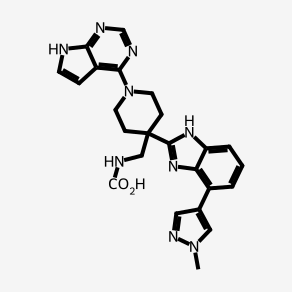 Cn1cc(-c2cccc3[nH]c(C4(CNC(=O)O)CCN(c5ncnc6[nH]ccc56)CC4)nc23)cn1